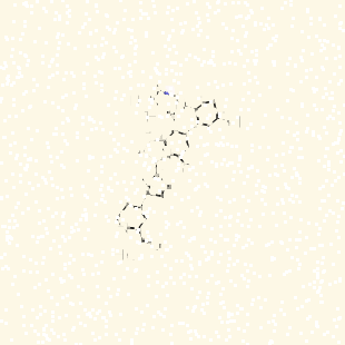 N/N=C\N(N)c1ccc(Cl)cc1-c1cc2n(c(=O)c1)C(c1ncc(-c3ccnc(C(=O)O)c3)[nH]1)CC2